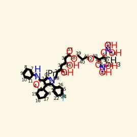 CC(C)c1c(C(=O)Nc2ccccc2)c(-c2ccccc2)c(-c2ccc(F)cc2)n1CCC(O)CC(O)CC(=O)OCCCOCC(ON(O)O)C(C)ON(O)O